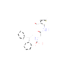 Cc1cc(C=O)c(NC(=O)[C@H](C)N(CC2c3ccccc3-c3ccccc32)C(=O)O)s1